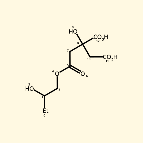 CCC(O)COC(=O)CC(O)(CC(=O)O)C(=O)O